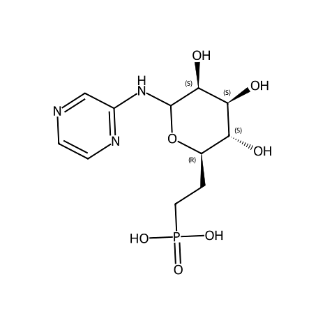 O=P(O)(O)CC[C@H]1OC(Nc2cnccn2)[C@@H](O)[C@@H](O)[C@@H]1O